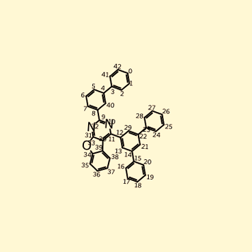 c1ccc(-c2cccc(-c3nc(-c4cc(-c5ccccc5)cc(-c5ccccc5)c4)c4c(n3)oc3ccccc34)c2)cc1